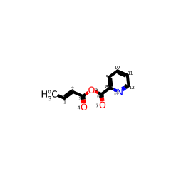 CC=CC(=O)OC(=O)c1ccccn1